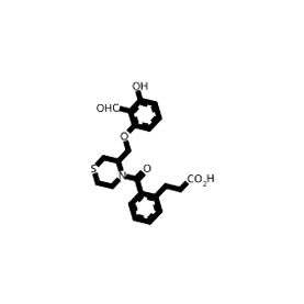 O=Cc1c(O)cccc1OCC1CSCCN1C(=O)c1ccccc1CCC(=O)O